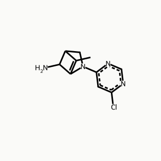 CC1=C2C(N)C1CN2c1cc(Cl)ncn1